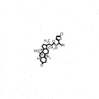 CC(C)C(NC(=O)C[C@@H](C)C1CC[C@H]2[C@@H]3[C@H](O)C[C@@H]4CC(=O)CC[C@]4(C)[C@H]3CC[C@]12C)c1ccc(Cl)s1